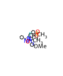 COc1cccc(-c2c(C)c(Cc3c(F)cccc3S(C)(=O)=O)c(C)n(CC(N)c3ccccc3)c2=O)c1